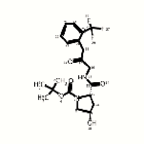 CC(C)(C)OC(=O)N1C[C@H](O)C[C@H]1C(=O)NCC(=O)Cc1ccccc1C(F)(F)F